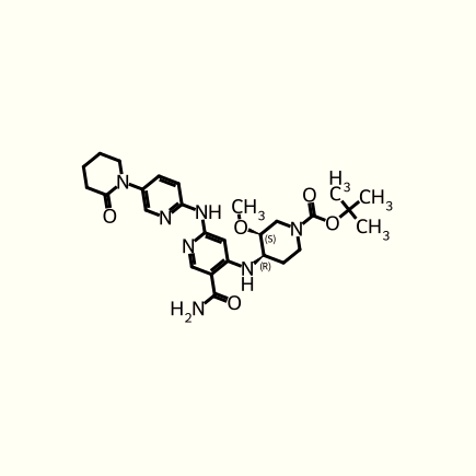 CO[C@H]1CN(C(=O)OC(C)(C)C)CC[C@H]1Nc1cc(Nc2ccc(N3CCCCC3=O)cn2)ncc1C(N)=O